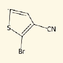 N#Cc1c[c]sc1Br